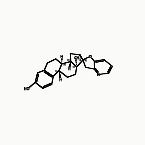 C[C@]12CC[C@@H]3c4ccc(O)cc4CC[C@H]3[C@@H]1CC[C@@]21Cc2ncccc2O1